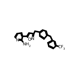 Nc1ncccc1-c1cc(Cc2ccc(Cc3cccc(C(F)(F)F)c3)cc2)no1